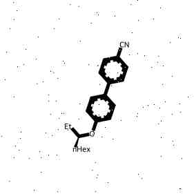 CCCCCC[C@@H](CC)Oc1ccc(-c2ccc(C#N)cc2)cc1